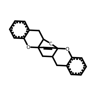 C1=CC23CC4Cc5ccccc5OC14CC2Cc1ccccc1O3